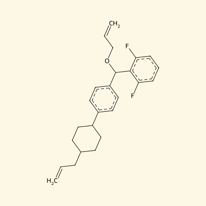 C=CCOC(c1ccc(C2CCC(CC=C)CC2)cc1)c1c(F)cccc1F